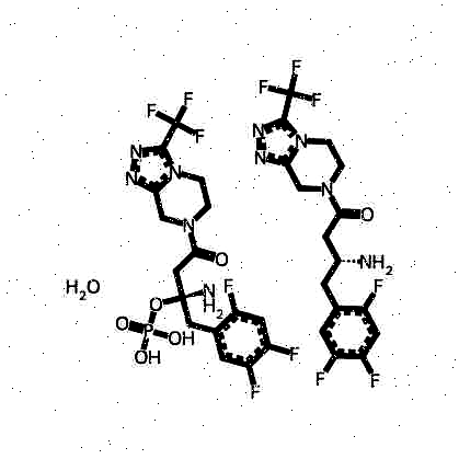 N[C@@H](CC(=O)N1CCn2c(nnc2C(F)(F)F)C1)Cc1cc(F)c(F)cc1F.N[C@@](CC(=O)N1CCn2c(nnc2C(F)(F)F)C1)(Cc1cc(F)c(F)cc1F)OP(=O)(O)O.O